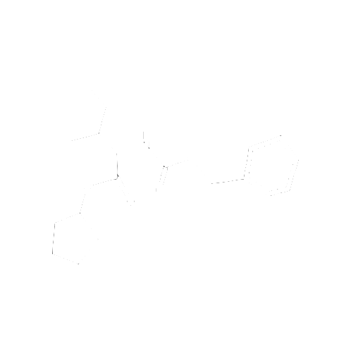 CCC(C)[C@H](NC(=O)OCc1ccccc1)C(=O)OC1CCCC1